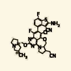 C[C@H]1CN2CCC[C@@]2(COc2nc3c4c(c(Cl)c(-c5ccc(F)c6sc(N)c(C#N)c56)c(F)c4n2)OCC2C(CC#N)CCN32)C1